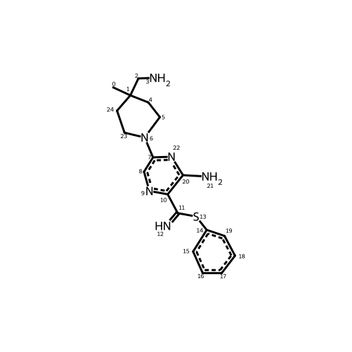 CC1(CN)CCN(c2cnc(C(=N)Sc3ccccc3)c(N)n2)CC1